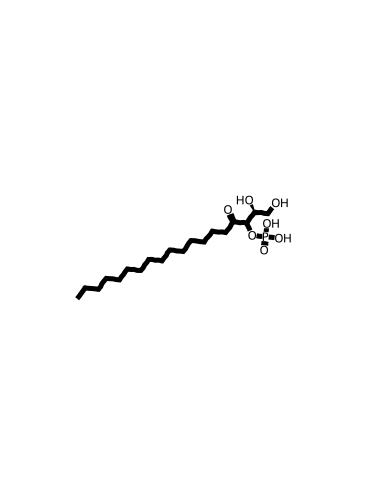 CCCCCCCCCCCCCCCC(=O)C(OP(=O)(O)O)[C@@H](O)CO